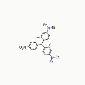 CCN(CC)c1ccc(C(c2ccc([N+](=O)[O-])cc2)c2ccc(N(CC)CC)cc2C)c(C)c1